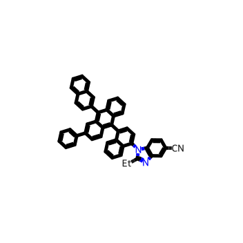 CCc1nc2cc(C#N)ccc2n1-c1ccc(-c2c3ccccc3c(-c3ccc4ccccc4c3)c3cc(-c4ccccc4)ccc23)c2ccccc12